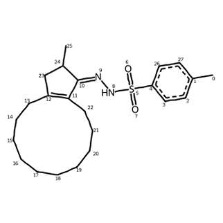 Cc1ccc(S(=O)(=O)NN=C2C3=C(CCCCCCCCCC3)CC2C)cc1